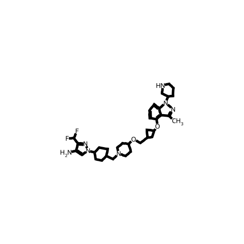 Cc1nn(C2CCCNC2)c2cccc(OC3CC(COC4CCN(CC5CCC(n6cc(N)c(C(F)F)n6)CC5)CC4)C3)c12